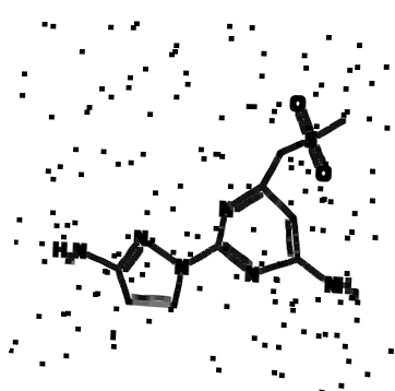 CS(=O)(=O)Cc1cc(N)nc(-n2ccc(N)n2)n1